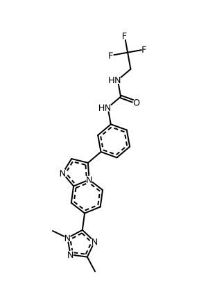 Cc1nc(-c2ccn3c(-c4cccc(NC(=O)NCC(F)(F)F)c4)cnc3c2)n(C)n1